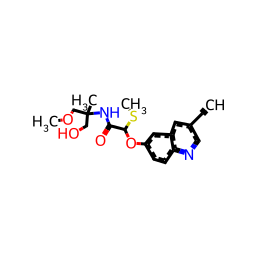 C#Cc1cnc2ccc(OC(SC)C(=O)NC(C)(CO)COC)cc2c1